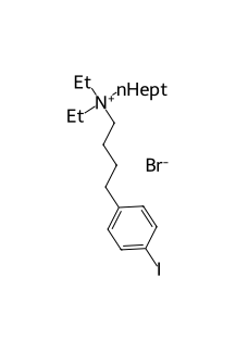 CCCCCCC[N+](CC)(CC)CCCCc1ccc(I)cc1.[Br-]